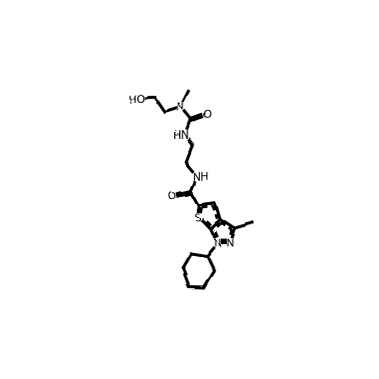 Cc1nn(C2CCCCC2)c2sc(C(=O)NCCNC(=O)N(C)CCO)cc12